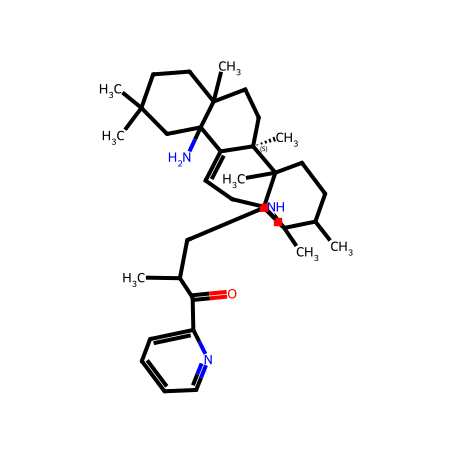 CC(CC1CCC2(C)C(C)CCC3(C)C2(CC=C2C4(N)CC(C)(C)CCC4(C)CC[C@]23C)N1)C(=O)c1ccccn1